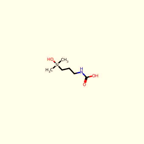 C[Si](C)(O)CCCNC(=O)O